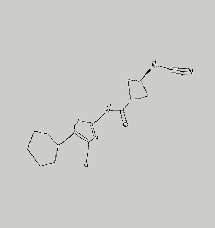 N#CN[C@H]1C[C@H](C(=O)Nc2nc(Cl)c(C3CCCCC3)s2)C1